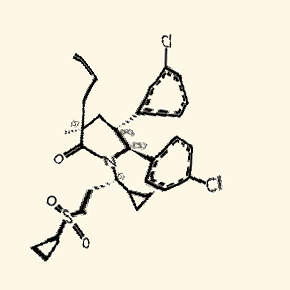 C=CC[C@@]1(C)C[C@H](c2cccc(Cl)c2)[C@@H](c2ccc(Cl)cc2)N([C@@H](CCS(=O)(=O)C2CC2)C2CC2)C1=O